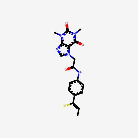 C/C=C(\S)c1ccc(NC(=O)Cn2cnc3c2c(=O)n(C)c(=O)n3C)cc1